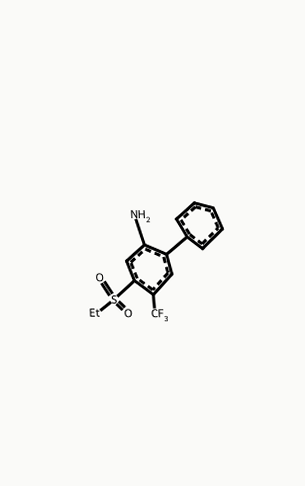 CCS(=O)(=O)c1cc(N)c(-c2ccccc2)cc1C(F)(F)F